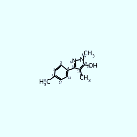 Cc1ccc(-c2nn(C)c(O)c2C)cc1